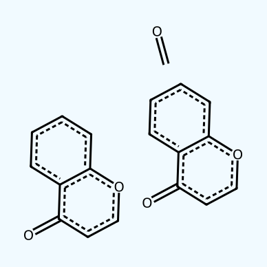 C=O.O=c1ccoc2ccccc12.O=c1ccoc2ccccc12